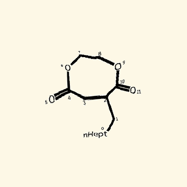 CCCCCCCCC1CC(=O)OCCOC1=O